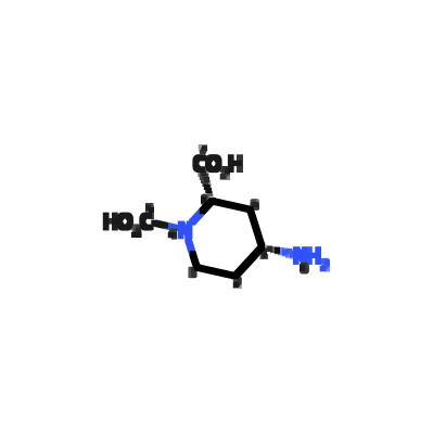 N[C@@H]1CCN(C(=O)O)[C@H](C(=O)O)C1